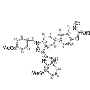 CCN(Cc1cncc(-c2ccc3c(c2)c(-c2nc4c(SC)cccc4[nH]2)nn3Cc2ccc(OC)cc2)c1C)C(=O)OCC(C)C